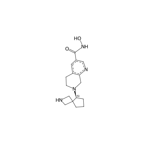 O=C(NO)c1cnc2c(c1)CCN([C@H]1CCCC13CNC3)C2